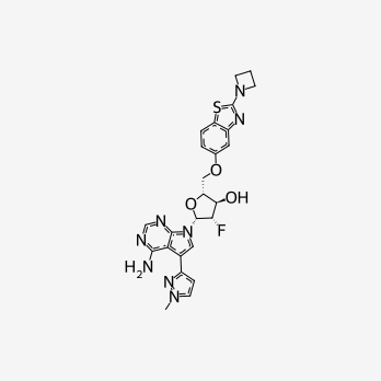 Cn1ccc(-c2cn([C@@H]3O[C@H](COc4ccc5sc(N6CCC6)nc5c4)[C@@H](O)[C@@H]3F)c3ncnc(N)c23)n1